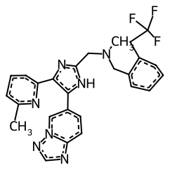 Cc1cccc(-c2nc(CN(C)Cc3ccccc3CC(F)(F)F)[nH]c2-c2ccc3ncnn3c2)n1